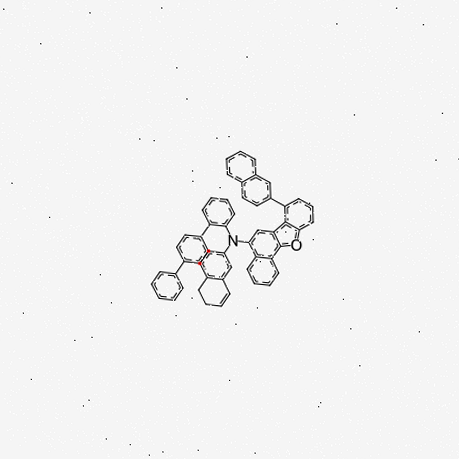 C1=Cc2cc(N(c3ccccc3-c3ccc(-c4ccccc4)cc3)c3cc4c(oc5cccc(-c6ccc7ccccc7c6)c54)c4ccccc34)ccc2CC1